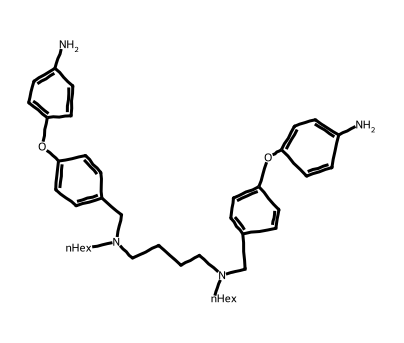 CCCCCCN(CCCCN(CCCCCC)Cc1ccc(Oc2ccc(N)cc2)cc1)Cc1ccc(Oc2ccc(N)cc2)cc1